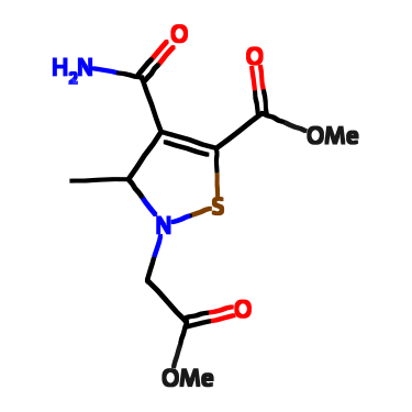 COC(=O)CN1SC(C(=O)OC)=C(C(N)=O)C1C